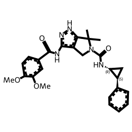 COc1ccc(C(=O)Nc2n[nH]c3c2CN(C(=O)N[C@@H]2C[C@H]2c2ccccc2)C3(C)C)cc1OC